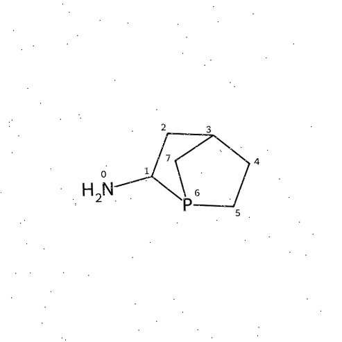 NC1CC2CCP1C2